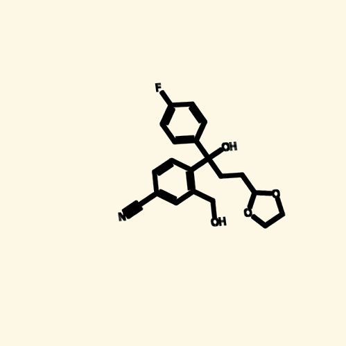 N#Cc1ccc(C(O)(CCC2OCCO2)c2ccc(F)cc2)c(CO)c1